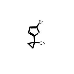 N#CC1(c2ccc(Br)s2)CC1